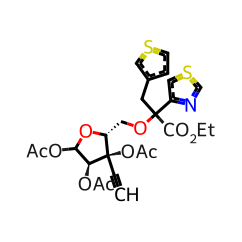 C#C[C@@]1(OC(C)=O)[C@@H](COC(Cc2ccsc2)(C(=O)OCC)c2cscn2)OC(OC(C)=O)[C@@H]1OC(C)=O